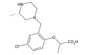 CC(Oc1ccc(Cl)cc1CN1CCN[C@@H](C)C1)C(=O)O